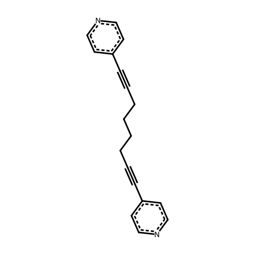 C(#Cc1ccncc1)CCCCC#Cc1ccncc1